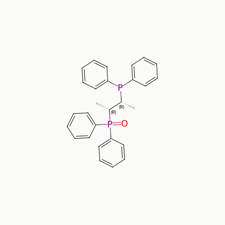 C[C@H]([C@@H](C)P(=O)(c1ccccc1)c1ccccc1)P(c1ccccc1)c1ccccc1